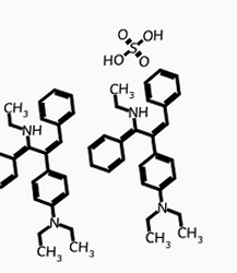 CCNC(C(=Cc1ccccc1)c1ccc(N(CC)CC)cc1)=C1C=CCC=C1.CCNC(C(=Cc1ccccc1)c1ccc(N(CC)CC)cc1)=C1C=CCC=C1.O=S(=O)(O)O